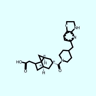 O=C(O)CC1C[C@@H]2C[C@@H](C(=O)N3CCC(Cc4ccc5c(n4)NCCC5)CC3)C[C@@H]3CC123